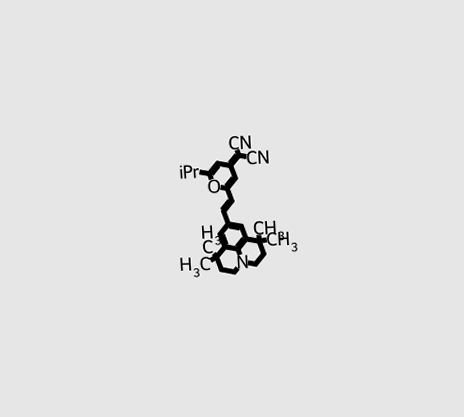 CC(C)C1=CC(=C(C#N)C#N)C=C(/C=C/c2cc3c4c(c2)C(C)(C)CCN4CCC3(C)C)O1